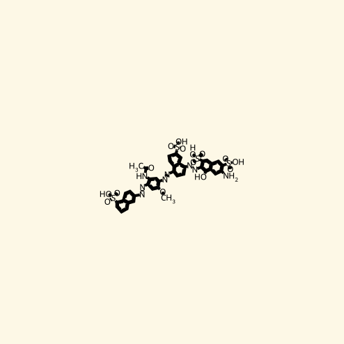 COc1cc(/N=N/c2ccc3c(S(=O)(=O)O)cccc3c2)c(NC(C)=O)cc1/N=N/c1ccc(/N=N/c2c(S(=O)(=O)O)cc3cc(S(=O)(=O)O)c(N)cc3c2O)c2cc(S(=O)(=O)O)ccc12